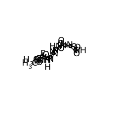 CCN(C)S(=O)(=O)Nc1ccc(F)c(C(=O)c2c[nH]c3ncc(-c4cnc(N5CCC(NC(=O)C(OC=O)N6CCC(c7ccc(OC8CCC(=O)NC8=O)cn7)CC6)CC5)nc4)cc23)c1F